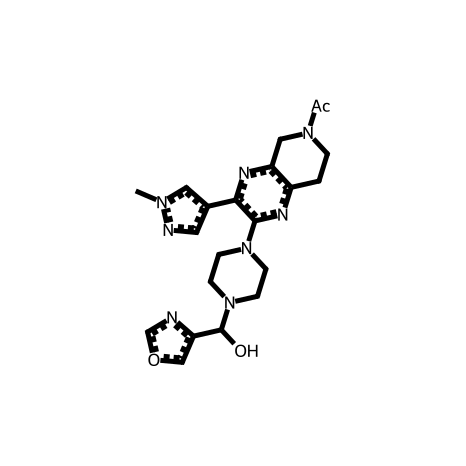 CC(=O)N1CCc2nc(N3CCN(C(O)c4cocn4)CC3)c(-c3cnn(C)c3)nc2C1